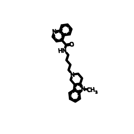 Cn1c2c(c3ccccc31)CN(CCCCNC(=O)c1ccnc3ccccc13)CC2